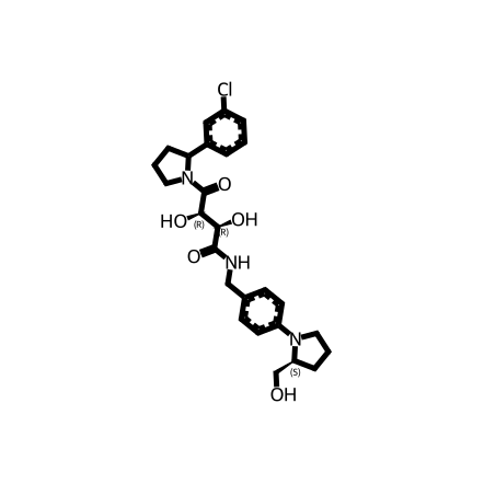 O=C(NCc1ccc(N2CCC[C@H]2CO)cc1)[C@H](O)[C@@H](O)C(=O)N1CCCC1c1cccc(Cl)c1